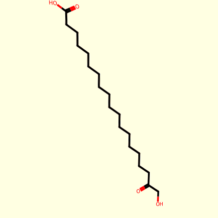 O=C(O)CCCCCCCCCCCCCCCCC(=O)CO